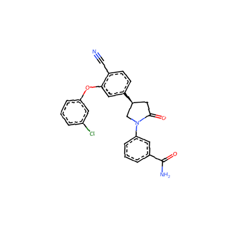 N#Cc1ccc([C@H]2CC(=O)N(c3cccc(C(N)=O)c3)C2)cc1Oc1cccc(Cl)c1